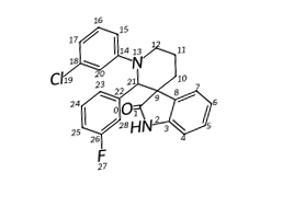 O=C1Nc2ccccc2C12CCCN(c1cccc(Cl)c1)C2c1cccc(F)c1